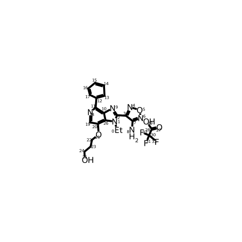 CCn1c(-c2nonc2N)nc2c(-c3ccccc3)ncc(OCCCO)c21.O=C(O)C(F)(F)F